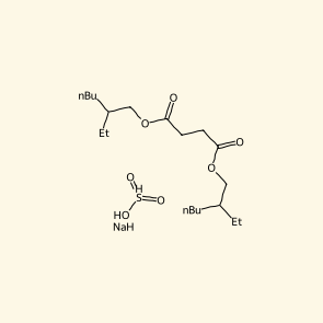 CCCCC(CC)COC(=O)CCC(=O)OCC(CC)CCCC.O=[SH](=O)O.[NaH]